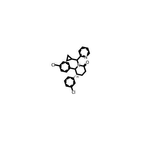 O=C1CC[C@H](c2cccc(Cl)c2)C(c2ccc(Cl)cc2)N1C(c1ccccn1)C1CC1